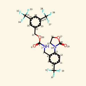 O=C(NCc1cc(C(F)(F)F)ccc1N1CCOC1=O)OCc1cc(C(F)(F)F)cc(C(F)(F)F)c1